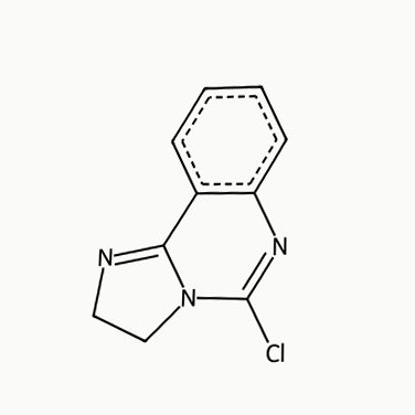 ClC1=Nc2ccccc2C2=NCCN12